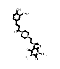 COc1cc(/C=C/C(=O)N2CCN(CCn3cnc4c3c(=O)n(C)c(=O)n4C)CC2)ccc1O